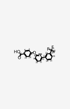 O=C(O)c1ccc(Oc2cccc(-c3cccc(C(F)(F)F)c3)n2)cc1